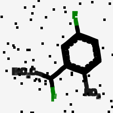 CCOC(=O)C(F)c1cc(F)ccc1[N+](=O)[O-]